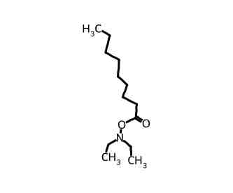 CCCCCCCCC(=O)ON(CC)CC